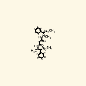 CON=C(c1ccccc1)N(C)NC(=O)CC(=O)NN(C)C(=NOC)c1ccccc1